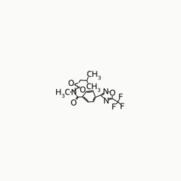 CC(C)CS(=O)(=O)N(C)C(=O)c1ccc(-c2noc(C(F)(F)F)n2)cc1